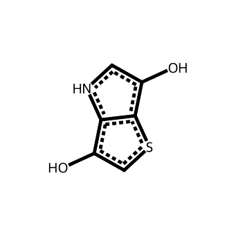 Oc1csc2c(O)c[nH]c12